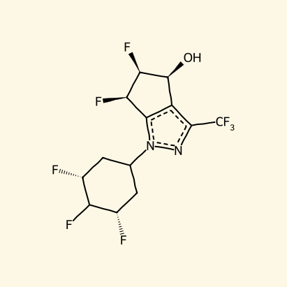 O[C@H]1c2c(C(F)(F)F)nn(C3C[C@@H](F)C(F)[C@@H](F)C3)c2[C@@H](F)[C@H]1F